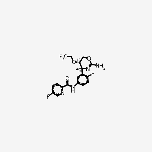 C[C@]1(c2cc(NC(=O)c3ccc(F)cn3)ccc2F)N=C(N)OC[C@@H]1OCC(F)(F)F